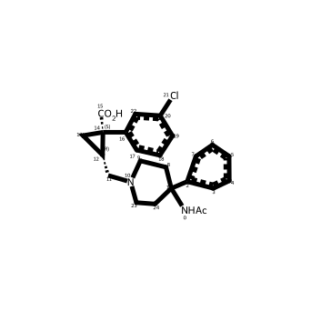 CC(=O)NC1(c2ccccc2)CCN(C[C@@H]2C[C@@]2(C(=O)O)c2cccc(Cl)c2)CC1